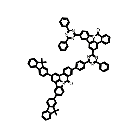 CC1(C)c2ccccc2-c2ccc(-c3ccc4c(c3)c3cc(-c5ccc6c(c5)C(C)(C)c5ccccc5-6)cc5c6ccc(-c7ccc(-c8nc(-c9ccccc9)nc(-c9cc%10c%11ccccc%11c(=O)n%11c%12ccc(-c%13nc(-c%14ccccc%14)nc(-c%14ccccc%14)n%13)cc%12c(c9)c%10%11)n8)cc7)cc6c(=O)n4c53)cc21